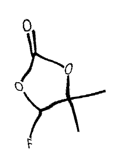 CC1(C)OC(=O)OC1F